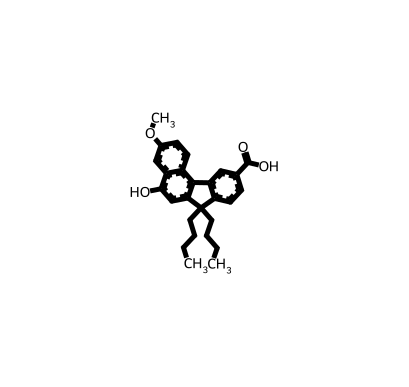 CCCCC1(CCCC)c2ccc(C(=O)O)cc2-c2c1cc(O)c1cc(OC)ccc21